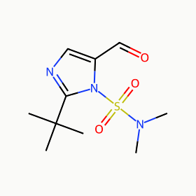 CN(C)S(=O)(=O)n1c(C=O)cnc1C(C)(C)C